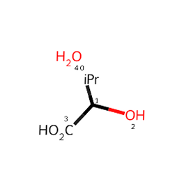 CC(C)C(O)C(=O)O.O